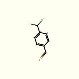 FC(F)c1ccc(C=S)cc1